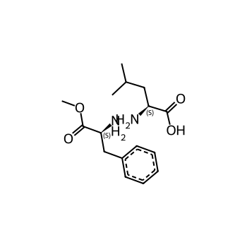 CC(C)C[C@H](N)C(=O)O.COC(=O)[C@@H](N)Cc1ccccc1